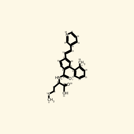 CSCCC(NC(=O)c1ccc(C=Cc2cccnc2)cc1-c1ccccc1C)C(=O)O